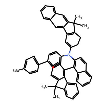 CC(C)(C)c1ccc(-c2ccc(N(C3=CC4=C(CC3)C(C)(C)c3cc5ccccc5cc34)c3ccc4ccccc4c3-c3c#ccc4c3-c3ccccc3C4(C)C)cc2)cc1